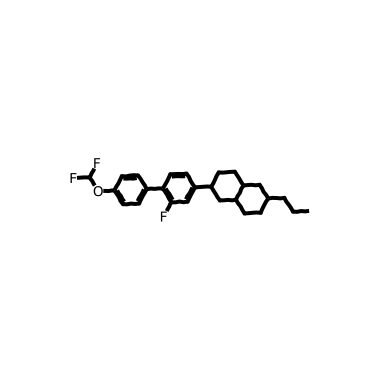 CCCC1CCC2CC(c3ccc(-c4ccc(OC(F)F)cc4)c(F)c3)CCC2C1